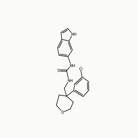 O=C(NCC1(c2cccc(Cl)c2)CCOCC1)Nc1ccc2cc[nH]c2c1